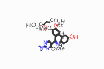 CCOc1cc2c(cc1OC)C(c1cnc(N(C)C)nc1OC)=N[C@@H]1CC[C@@H](O)C[C@H]21.O=C(O)CCC(=O)C(=O)O